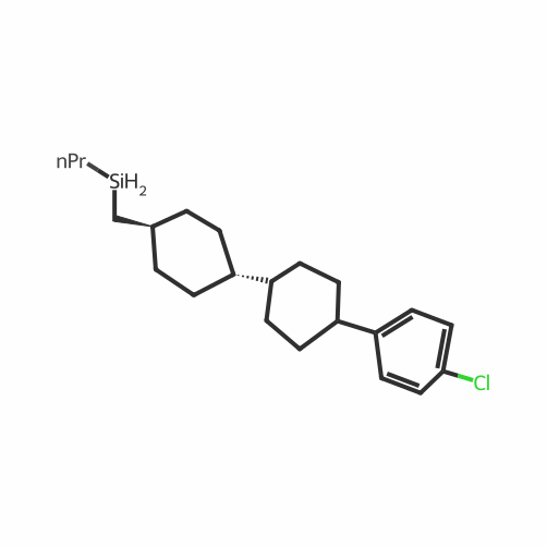 CCC[SiH2]C[C@H]1CC[C@H](C2CCC(c3ccc(Cl)cc3)CC2)CC1